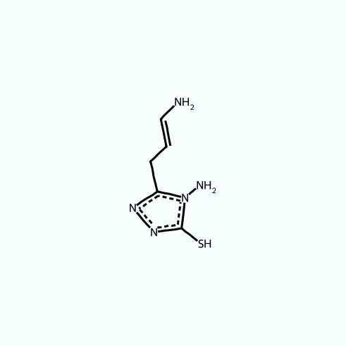 NC=CCc1nnc(S)n1N